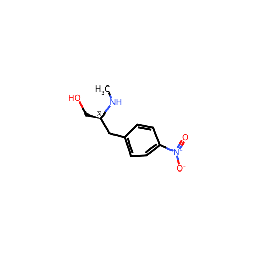 CN[C@H](CO)Cc1ccc([N+](=O)[O-])cc1